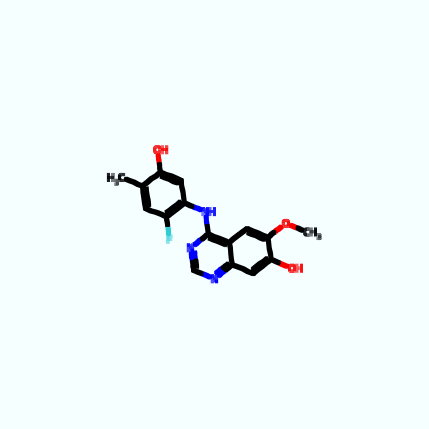 COc1cc2c(Nc3cc(O)c(C)cc3F)ncnc2cc1O